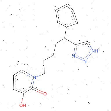 O=c1c(O)cccn1CCCCC(c1ccccc1)c1c[nH]nn1